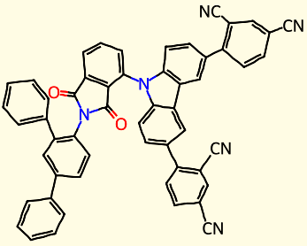 N#Cc1ccc(-c2ccc3c(c2)c2cc(-c4ccc(C#N)cc4C#N)ccc2n3-c2cccc3c2C(=O)N(c2ccc(-c4ccccc4)cc2-c2ccccc2)C3=O)c(C#N)c1